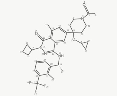 CC(=O)N1CCC(OC2CC2)(c2cc(C)c3c(=O)n(C4CCC4)nc(N[C@H](C)c4cccc(C(F)(F)F)c4C)c3c2)CC1